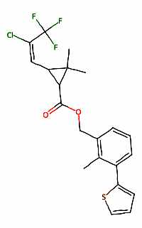 Cc1c(COC(=O)C2C(/C=C(/Cl)C(F)(F)F)C2(C)C)cccc1-c1cccs1